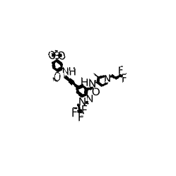 COc1ccc(S(C)(=O)=O)cc1NCC#Cc1cc(C(=O)N[C@H]2CCN(CCC(F)F)C[C@@H]2C)c2ncn(CC(F)(F)F)c2c1